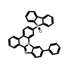 O=P1(c2ccc3c4ccccc4c4nc5ccc(-c6ccccc6)cc5n4c3c2)c2ccccc2-c2ccccc21